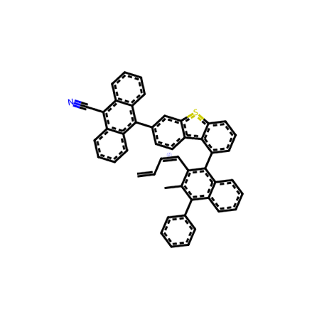 C=C/C=C\c1c(C)c(-c2ccccc2)c2ccccc2c1-c1cccc2sc3cc(-c4c5ccccc5c(C#N)c5ccccc45)ccc3c12